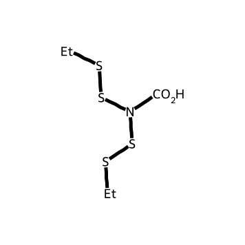 CCSSN(SSCC)C(=O)O